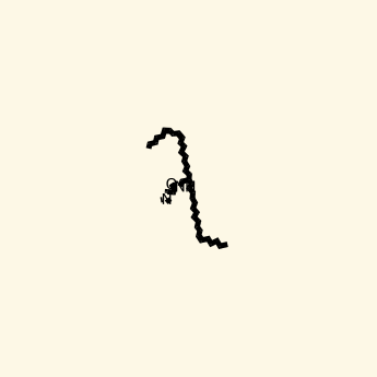 CCCCC/C=C\C/C=C\CCCCCCCCC(CCCCCCCCCCC/C=C\CCCCC)CNC(=O)CCN(C)C